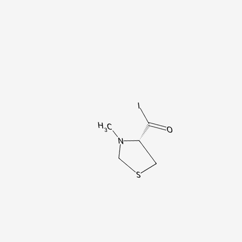 CN1CSC[C@H]1C(=O)I